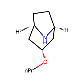 CCCO[C@@H]1C[C@H]2CC[C@@H](C1)N2